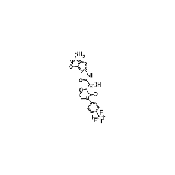 Nc1noc2cc(NC(=O)[C@H](O)C3OCCN(c4ccc(S(F)(F)(F)(F)F)cc4)C3=O)ccc12